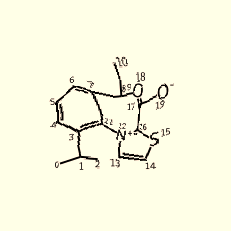 CC(C)c1cccc(C(C)C)c1-[n+]1ccsc1C(=O)[O-]